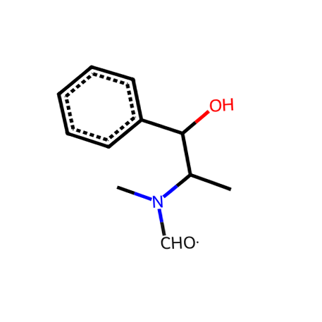 CC(C(O)c1ccccc1)N(C)[C]=O